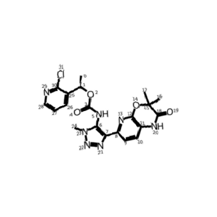 C[C@@H](OC(=O)Nc1c(-c2ccc3c(n2)OC(C)(C)C(=O)N3)nnn1C)c1cccnc1Cl